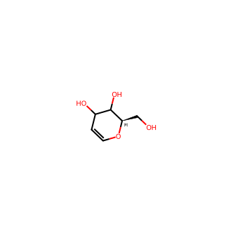 OC[C@H]1OC=CC(O)C1O